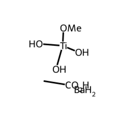 CC(=O)O.C[O][Ti]([OH])([OH])[OH].[BaH2]